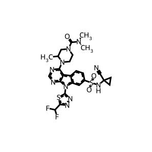 CC1CN(C(=O)N(C)C)CCN1c1ncnc2c1c1ccc(S(=O)(=O)NC3(C#N)CC3)cc1n2-c1nnc(C(F)F)s1